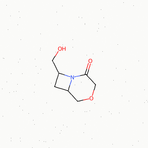 O=C1COCC2CC(CO)N12